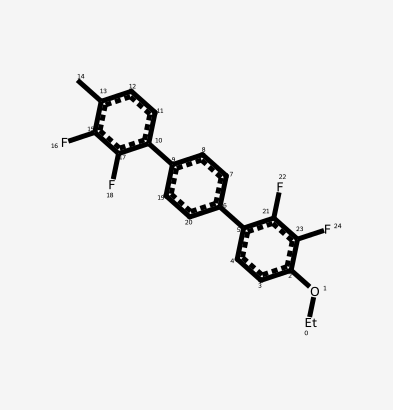 CCOc1ccc(-c2ccc(-c3ccc(C)c(F)c3F)cc2)c(F)c1F